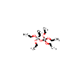 C=C[Si](OCC)(OCC)O[Si](OCC)(OCC)OCC